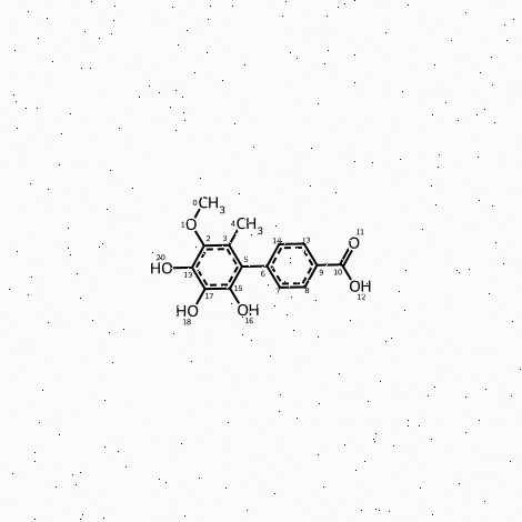 COc1c(C)c(-c2ccc(C(=O)O)cc2)c(O)c(O)c1O